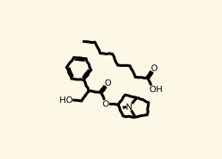 CCCCCCCC(=O)O.CN1C2CCC1CC(OC(=O)C(CO)c1ccccc1)C2